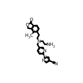 Cc1c(CCN(CCN)Cc2ccc(-n3cc(C#N)cn3)nc2)ccc2c1COC2=O